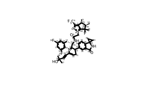 C[C@@H]1c2c(C(F)(F)F)nn(CC(=O)N[C@@H](Cc3cc(F)cc(F)c3)C3=NC(C#CC(C)(C)O)=CCC3c3ccc4c(c3)C(=O)NC43CC3)c2C(F)(F)[C@@H]1C